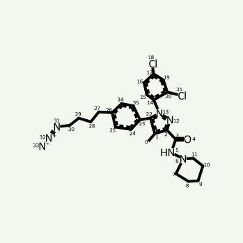 Cc1c(C(=O)NN2CCCCC2)nn(-c2ccc(Cl)cc2Cl)c1-c1ccc(CCCCN=[N+]=[N-])cc1